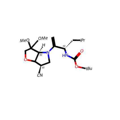 C=C([C@H](CC(C)C)NC(=O)OC(C)(C)C)N1C[C@@H](C#N)C2OCC(OC)(OC)[C@H]21